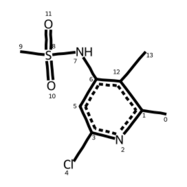 Cc1nc(Cl)cc(NS(C)(=O)=O)c1C